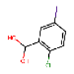 OC(O)c1cc(I)ccc1Cl